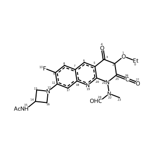 CCOC1C(=O)c2cc3cc(F)c(N4CC(NC(C)=O)C4)cc3nc2N(N(C)C=O)C1=C=O